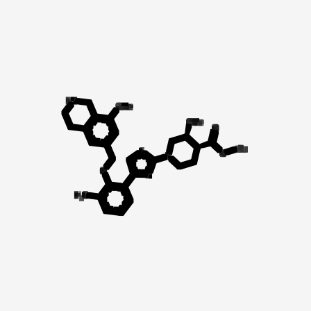 COc1cc(COc2c(C)cccc2-c2csc(N3CC[C@H](C(=O)OC(C)(C)C)[C@H](OC)C3)n2)cc2c1CNCC2